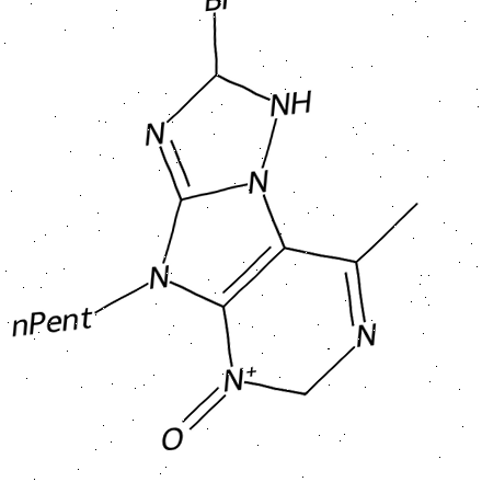 CCCCCN1C2=NC(Br)NN2C2=C1[N+](=O)CN=C2C